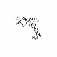 O.O.O.O.O.O=S([O-])([O-])=S.S.S.[Na+].[Na+]